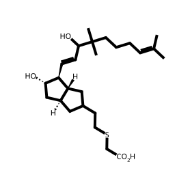 CC(C)=CCCCC(C)(C)C(O)C=C[C@H]1[C@@H]2CC(CCSCC(=O)O)C[C@H]2C[C@@H]1O